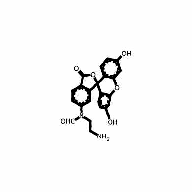 NCCN(C=O)c1ccc2c(c1)C1(OC2=O)c2ccc(O)cc2Oc2cc(O)ccc21